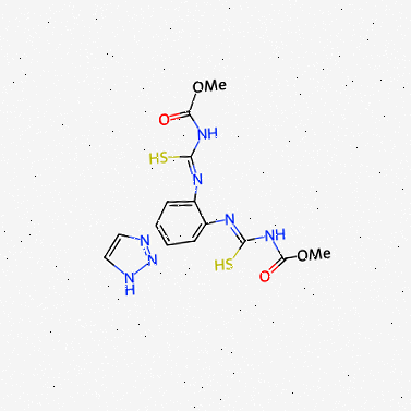 COC(=O)NC(S)=Nc1ccccc1N=C(S)NC(=O)OC.c1c[nH]nn1